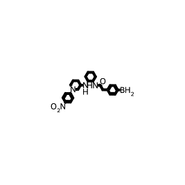 Bc1ccc(CC(=O)N[C@@H]2CCCC[C@H]2NC2CCCN(c3ccc([N+](=O)[O-])cc3)C2)cc1